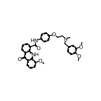 COc1ccc(CN(C)CCOc2ccc(NC(=O)c3cccc4c(=O)c5cccc(OC)c5[nH]c34)cc2)cc1OC